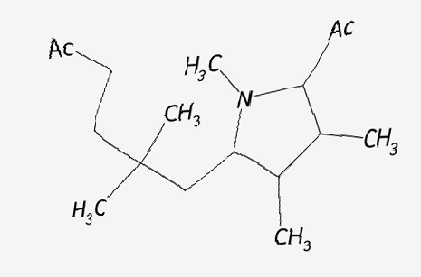 CC(=O)CCC(C)(C)CC1C(C)C(C)C(C(C)=O)N1C